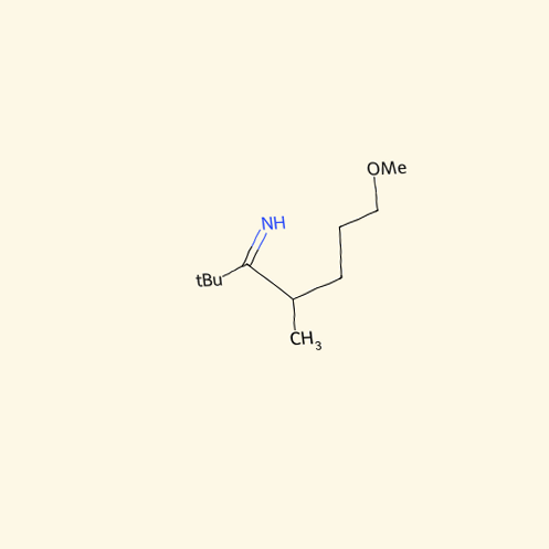 COCCCC(C)C(=N)C(C)(C)C